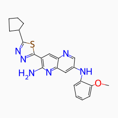 COc1ccccc1Nc1cnc2cc(-c3nnc(C4CCCC4)s3)c(N)nc2c1